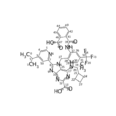 CC(C)c1ccnc(-c2nc3nc(C(=O)O)nc(N[C@H](C)C4CCC4)c3n2Cc2ccc(C(F)(F)F)cc2NC(=O)c2ccccc2C(=O)O)c1